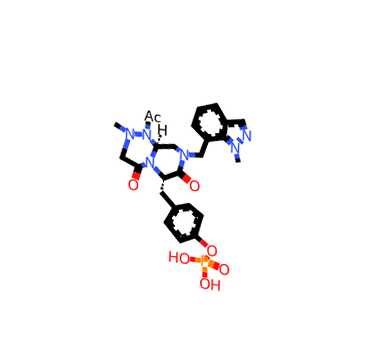 CC(=O)N1[C@H]2CN(Cc3cccc4cnn(C)c34)C(=O)[C@H](Cc3ccc(OP(=O)(O)O)cc3)N2C(=O)CN1C